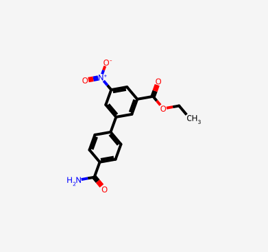 CCOC(=O)c1cc(-c2ccc(C(N)=O)cc2)cc([N+](=O)[O-])c1